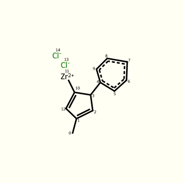 CC1=CC(c2ccccc2)[C]([Zr+2])=C1.[Cl-].[Cl-]